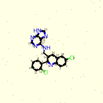 Clc1ccc2nc(-c3ccccc3Cl)c(CNc3ncnc4[nH]cnc34)cc2c1